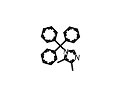 Cc1ncn(C(c2ccccc2)(c2ccccc2)c2ccccc2)c1C